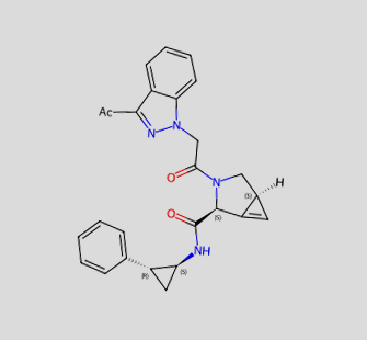 CC(=O)c1nn(CC(=O)N2C[C@H]3C=C3[C@H]2C(=O)N[C@H]2C[C@@H]2c2ccccc2)c2ccccc12